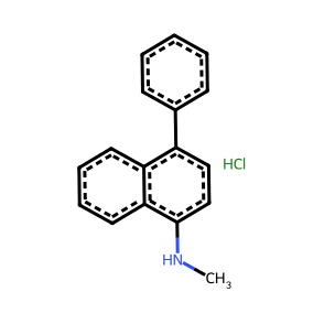 CNc1ccc(-c2ccccc2)c2ccccc12.Cl